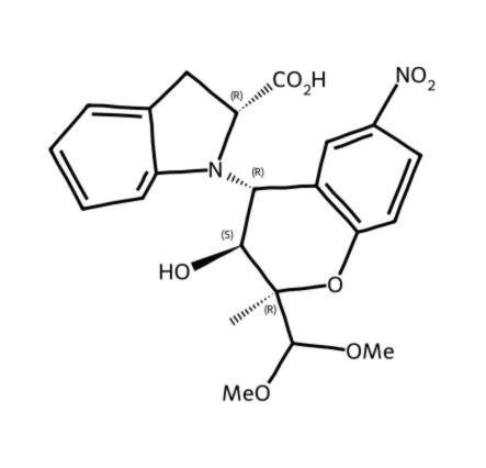 COC(OC)[C@]1(C)Oc2ccc([N+](=O)[O-])cc2[C@@H](N2c3ccccc3C[C@@H]2C(=O)O)[C@@H]1O